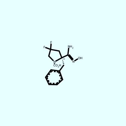 NC(=NO)[C@]1(Cc2ccccc2)CC(F)(F)CN1C(=O)O